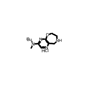 CCC(C)N(C)c1cnc2c(n1)OCCNC2.Cl